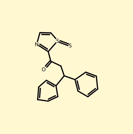 O=C(CC(c1ccccc1)c1ccccc1)C1=NC=CS1=S